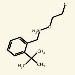 CC(C)(C)c1ccccc1C[SiH2]OCCCl